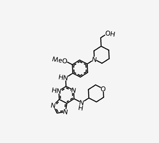 COc1cc(N2CCCC(CO)C2)ccc1Nc1nc(NC2CCOCC2)c2ncnc-2[nH]1